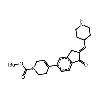 CC(C)(C)OC(=O)N1CC=C(c2ccc3c(c2)C/C(=C\C2CCNCC2)C3=O)CC1